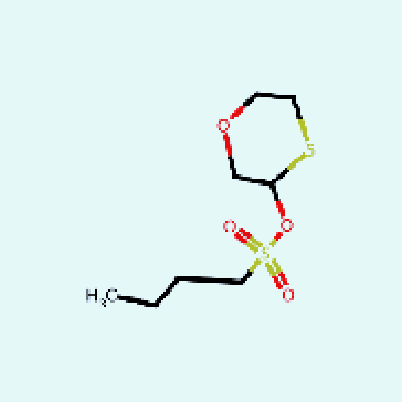 CCCCS(=O)(=O)OC1COCCS1